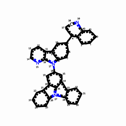 c1ccc2c(-c3ccc4c(c3)c3cccnc3n4-c3cc4c5ccccc5n5c6ccccc6c(c3)c45)ccnc2c1